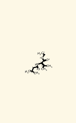 CCOC(=O)C(NC(=O)CC(C)C)=C(C)C